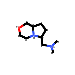 CN(C)CC1CCC2COCCN21